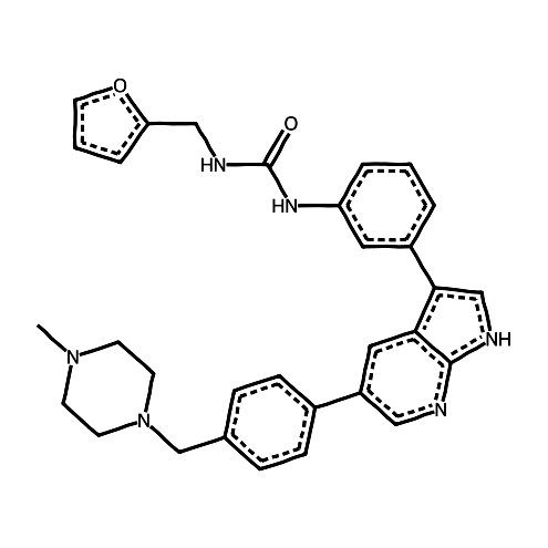 CN1CCN(Cc2ccc(-c3cnc4[nH]cc(-c5cccc(NC(=O)NCc6ccco6)c5)c4c3)cc2)CC1